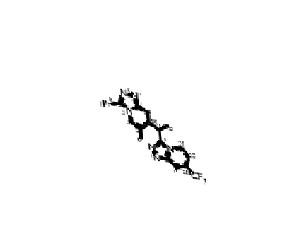 Cc1cn2c(C(C)C)nnc2cc1C(C)c1nnc2cc(C(F)(F)F)ccn12